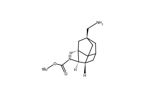 CC(C)(C)OC(=O)N[C@H]1[C@@H]2CC3C[C@H]1C[C@@](CN)(C3)C2